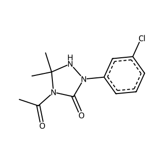 CC(=O)N1C(=O)N(c2cccc(Cl)c2)NC1(C)C